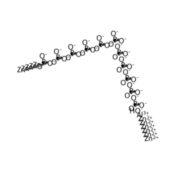 [Al+3].[O-]B([O-])[O-].[O-]B([O-])[O-].[O-]B([O-])[O-].[O-]B([O-])[O-].[O-]B([O-])[O-].[O-]B([O-])[O-].[O-]B([O-])[O-].[O-]B([O-])[O-].[O-]B([O-])[O-].[O-]B([O-])[O-].[O-]B([O-])[O-].[OH-].[Zn+2].[Zn+2].[Zn+2].[Zn+2].[Zn+2].[Zn+2].[Zn+2].[Zn+2].[Zn+2].[Zn+2].[Zn+2]